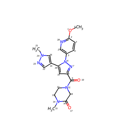 COc1ccc(-n2nc(C(=O)N3CCN(C)C(=O)C3)cc2-c2cnn(C)c2)cn1